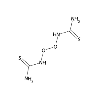 NC(=S)NOONC(N)=S